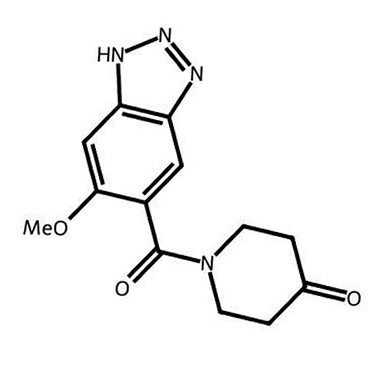 COc1cc2[nH]nnc2cc1C(=O)N1CCC(=O)CC1